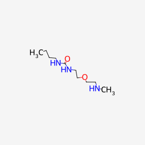 CCCCNC(=O)NCCOCCNC